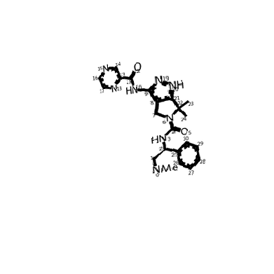 CNC[C@@H](NC(=O)N1Cc2c(NC(=O)c3cnccn3)n[nH]c2C1(C)C)c1ccccc1